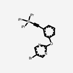 CC(C)[Si](C#Cc1cccc(Oc2ncc(Br)cn2)c1)(C(C)C)C(C)C